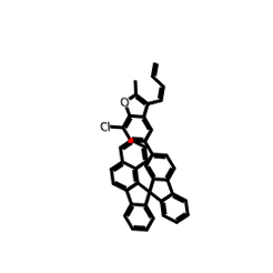 C=C/C=C\c1c(C)oc2c(Cl)cc(-c3ccc4c(c3)C3(c5ccccc5-4)c4ccccc4-c4ccc5ccccc5c43)cc12